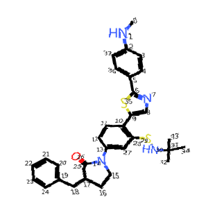 CNc1ccc(-c2ncc(-c3ccc(N4CCC(Cc5ccccc5)C4=O)cc3SNC(C)(C)C)s2)cc1